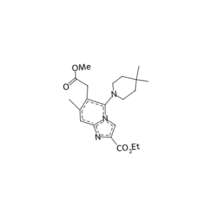 CCOC(=O)c1cn2c(N3CCC(C)(C)CC3)c(CC(=O)OC)c(C)cc2n1